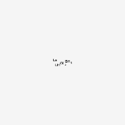 O.[BiH3].[La].[LiH]